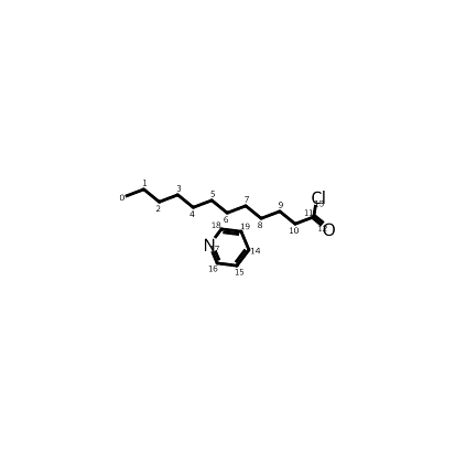 CCCCCCCCCCCC(=O)Cl.c1ccncc1